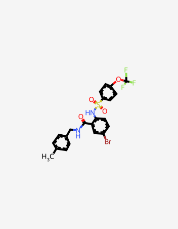 Cc1ccc(CNC(=O)c2cc(Br)ccc2NS(=O)(=O)c2ccc(OC(F)(F)F)cc2)cc1